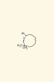 CC(C)C1CCCCCCCCC(C)(C)C=N1